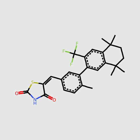 Cc1ccc(/C=C2/SC(=O)NC2=O)cc1-c1cc2c(cc1C(F)(F)F)C(C)(C)CCC2(C)C